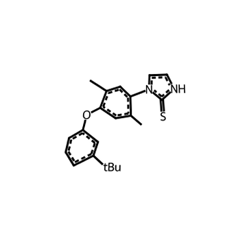 Cc1cc(-n2cc[nH]c2=S)c(C)cc1Oc1cccc(C(C)(C)C)c1